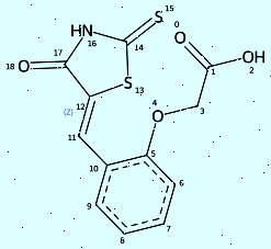 O=C(O)COc1ccccc1/C=C1\SC(=S)NC1=O